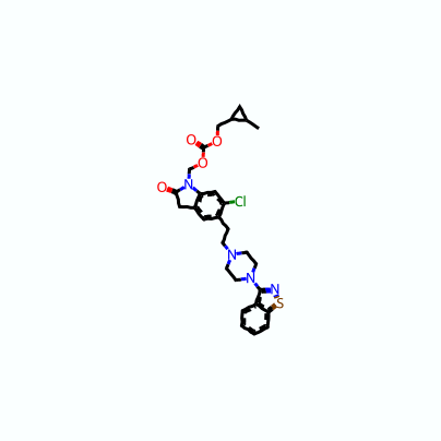 CC1CC1COC(=O)OCN1C(=O)Cc2cc(CCN3CCN(c4nsc5ccccc45)CC3)c(Cl)cc21